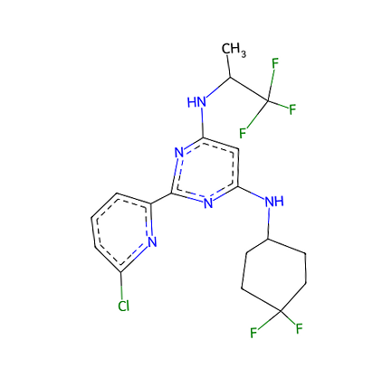 CC(Nc1cc(NC2CCC(F)(F)CC2)nc(-c2cccc(Cl)n2)n1)C(F)(F)F